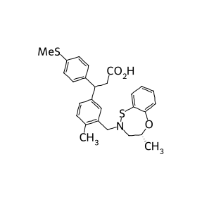 CSc1ccc(C(CC(=O)O)c2ccc(C)c(CN3C[C@@H](C)Oc4ccccc4S3)c2)cc1